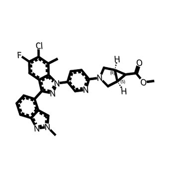 COC(=O)C1[C@H]2CN(c3ccc(-n4nc(-c5cccc6nn(C)cc56)c5cc(F)c(Cl)c(C)c54)cn3)C[C@@H]12